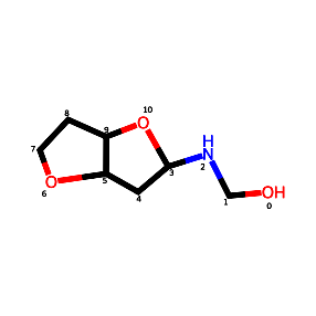 OCNC1CC2OCCC2O1